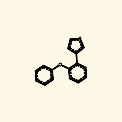 c1ccc(Oc2ccccc2-c2ccsc2)cc1